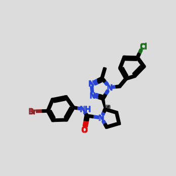 Cc1nnc([C@H]2CCCN2C(=O)Nc2ccc(Br)cc2)n1Cc1ccc(Cl)cc1